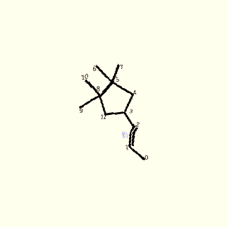 C/C=C/C1CC(C)(C)C(C)(C)C1